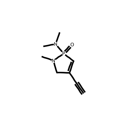 C#CC1=CP(=O)(N(C)C)N(C)C1